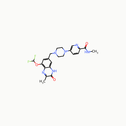 CNC(=O)c1ccc(N2CCN(Cc3cc(OC(F)F)c4nc(C)c(=O)[nH]c4c3)CC2)cn1